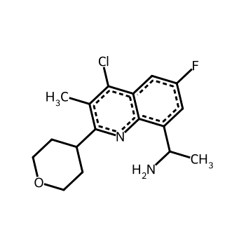 Cc1c(C2CCOCC2)nc2c(C(C)N)cc(F)cc2c1Cl